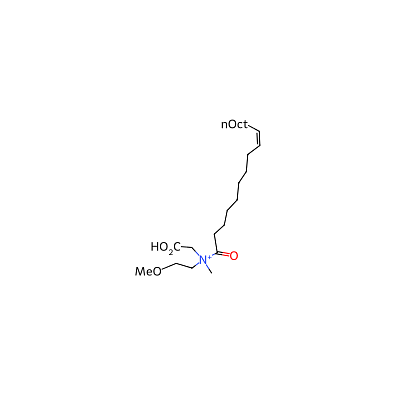 CCCCCCCC/C=C\CCCCCCCC(=O)[N+](C)(CCOC)CC(=O)O